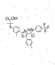 Cc1ccc(-c2sc(-c3ccc(SC(C)(C)C(=O)O)cc3C)nc2C(=O)Nc2ccc(C(F)(F)F)cc2)cc1